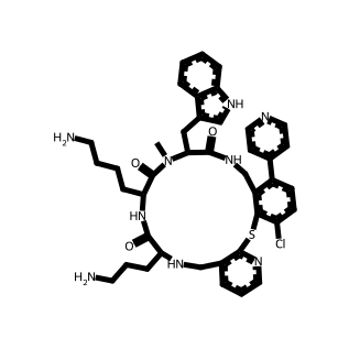 CN1C(=O)C(CCCCN)NC(=O)C(CCCN)NCc2cccnc2Sc2c(Cl)ccc(-c3ccncc3)c2CNC(=O)C1Cc1c[nH]c2ccccc12